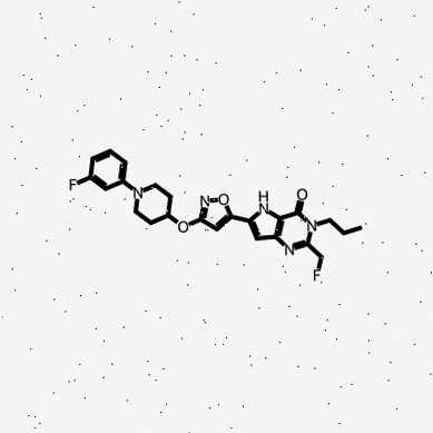 CCCn1c(CF)nc2cc(-c3cc(OC4CCN(c5cccc(F)c5)CC4)no3)[nH]c2c1=O